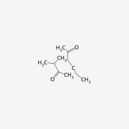 CC(=O)C(C)C.CCCCC(C)=O